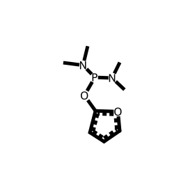 CN(C)P(Oc1ccco1)N(C)C